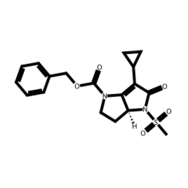 CS(=O)(=O)N1C(=O)C(C2CC2)=C2[C@@H]1CCN2C(=O)OCc1ccccc1